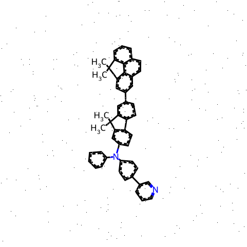 CC1(C)c2cc(-c3cc4c5c(ccc6cccc(c65)C4(C)C)c3)ccc2-c2ccc(N(c3ccccc3)c3ccc(-c4cccnc4)cc3)cc21